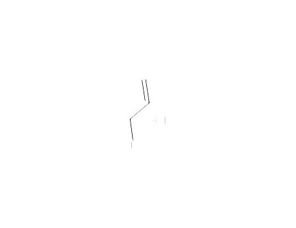 C=C[CH2][Pb].Cl